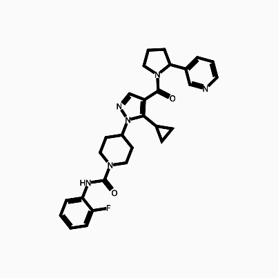 O=C(Nc1ccccc1F)N1CCC(n2ncc(C(=O)N3CCCC3c3cccnc3)c2C2CC2)CC1